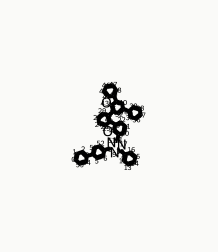 c1ccc(-c2ccc(-c3nc(-c4ccccc4)nc(-c4cccc5c4oc4cccc(-c6cc(-c7ccccc7)cc7c6oc6ccccc67)c45)n3)cc2)cc1